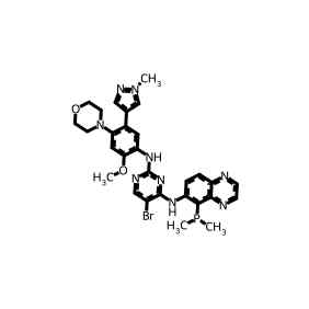 COc1cc(N2CCOCC2)c(-c2cnn(C)c2)cc1Nc1ncc(Br)c(Nc2ccc3nccnc3c2P(C)C)n1